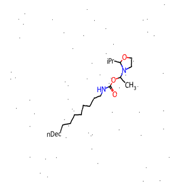 CCCCCCCCCCCCCCCCCCNC(=O)OC(C)N1CCOC1C(C)C